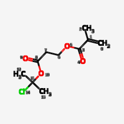 C=C(C)C(=O)OCCC(=O)OC(C)(C)Cl